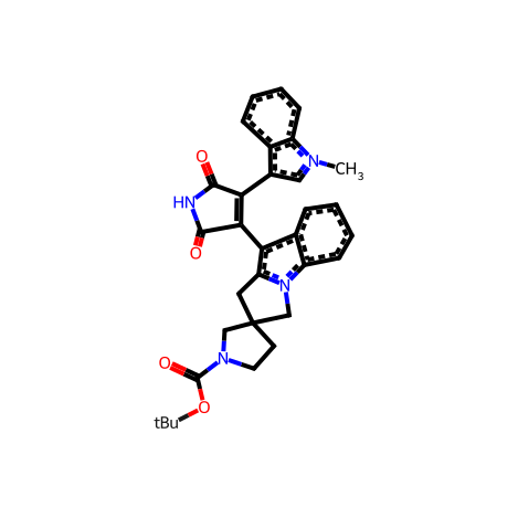 Cn1cc(C2=C(c3c4n(c5ccccc35)CC3(CCN(C(=O)OC(C)(C)C)C3)C4)C(=O)NC2=O)c2ccccc21